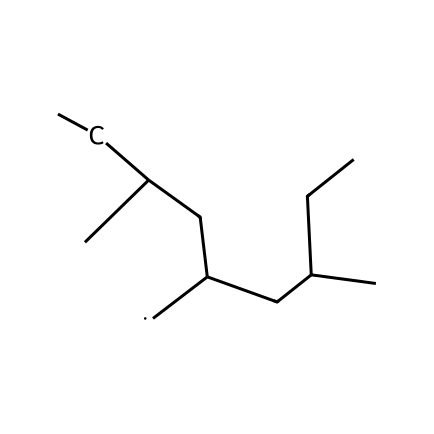 [CH2]C(CC(C)CC)CC(C)CC